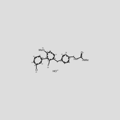 CNC(=O)NCc1ccc(Cc2ccc(OC)c(-c3cccc(Cl)c3)c2F)cn1.Cl